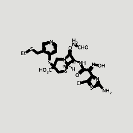 CCSCc1cnccc1SC1(C(=O)O)CS[C@@H]2[C@H](NC(=O)C(=NO)c3nc(N)sc3Cl)C(=O)N2C1.NC=O